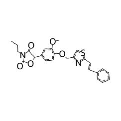 CCCN1C(=O)OC(c2ccc(OCc3csc(C=Cc4ccccc4)n3)c(OC)c2)C1=O